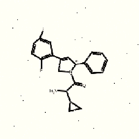 NC(C(=O)N1CC(c2cc(F)ccc2F)=C[C@H]1c1ccccc1)C1CC1